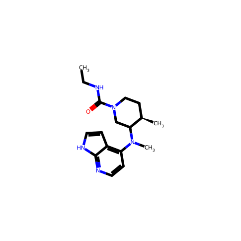 CCNC(=O)N1CC[C@@H](C)C(N(C)c2ccnc3[nH]ccc23)C1